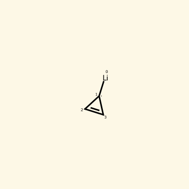 [Li][C]1C=C1